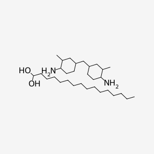 CC1CC(CC2CCC(N)C(C)C2)CCC1N.CCCCCCCCCCCCCCCC(O)O